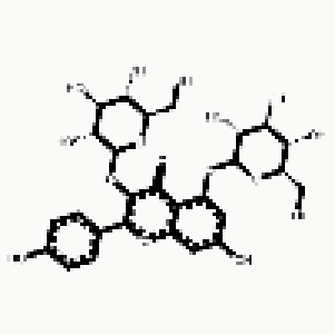 O=c1c(OC2O[C@H](CO)[C@@H](O)[C@H](O)[C@H]2O)c(-c2ccc(O)cc2)oc2cc(O)cc(OC3O[C@H](CO)[C@@H](O)[C@H](O)[C@H]3O)c12